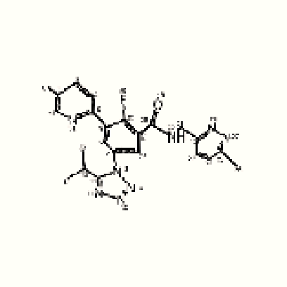 Cc1ccc(-c2cc(-n3nnnc3C(C)C)cc(C(=O)NCc3ccc(C)nn3)c2F)nc1